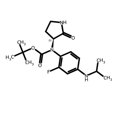 CC(C)Nc1ccc(N(C(=O)OC(C)(C)C)[C@H]2CCNC2=O)c(F)c1